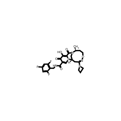 C[C@H]1CCO/N=C(/N2CCC2)C[C@H]2CN1C(=O)c1c(O)c(=O)c(C(=O)NCc3c(F)cc(F)cc3F)cn12